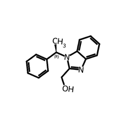 C[C@H](c1ccccc1)n1c(CO)nc2ccccc21